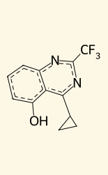 Oc1cccc2nc(C(F)(F)F)nc(C3CC3)c12